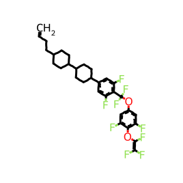 C=CCCC1CCC(C2CCC(c3cc(F)c(C(F)(F)Oc4cc(F)c(OC(F)=C(F)F)c(F)c4)c(F)c3)CC2)CC1